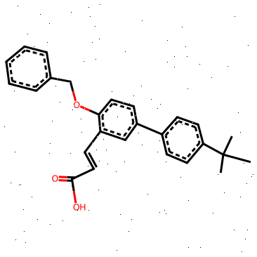 CC(C)(C)c1ccc(-c2ccc(OCc3ccccc3)c(C=CC(=O)O)c2)cc1